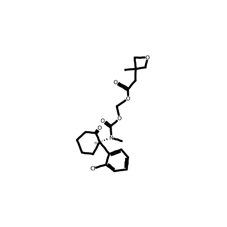 CN(C(=O)OCOC(=O)CC1(C)COC1)[C@]1(c2ccccc2Cl)CCCCC1=O